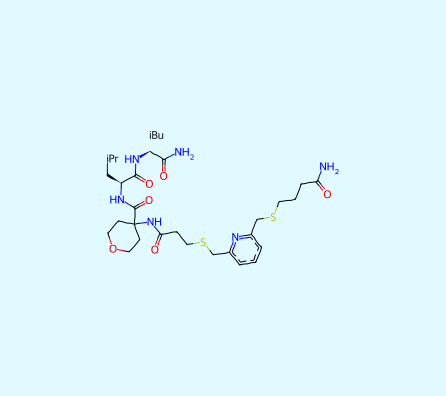 CC[C@H](C)[C@H](NC(=O)[C@H](CC(C)C)NC(=O)C1(NC(=O)CCSCc2cccc(CSCCCC(N)=O)n2)CCOCC1)C(N)=O